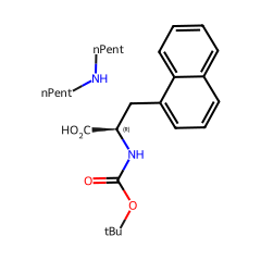 CC(C)(C)OC(=O)N[C@H](Cc1cccc2ccccc12)C(=O)O.CCCCCNCCCCC